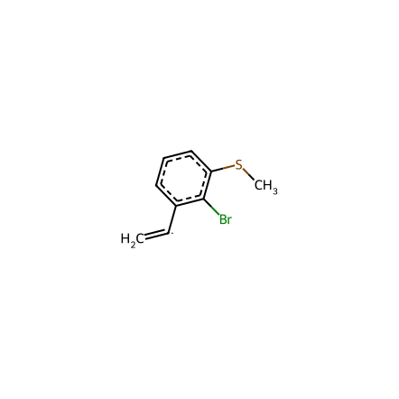 C=[C]c1cccc(SC)c1Br